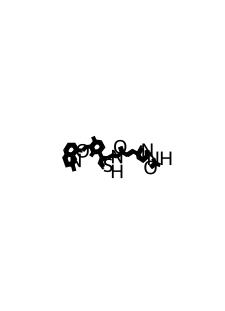 CC(=O)Nc1ccc(C=CC(=O)NCc2sccc2-c2ccc(C)c(COc3cccc4ccc(C)nc34)c2C)cn1